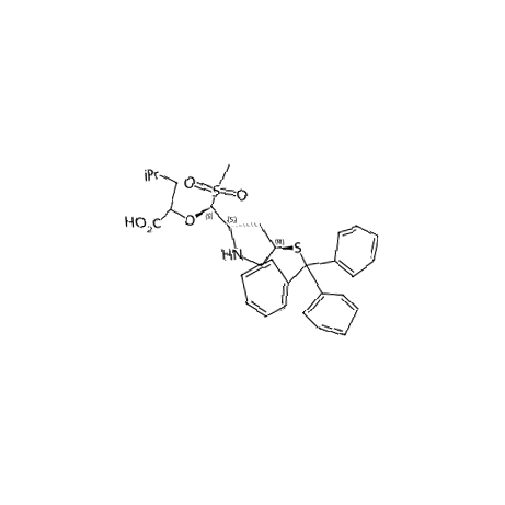 CC(C)CC(O[C@H]([C@@H]1C[C@@H](SC(c2ccccc2)(c2ccccc2)c2ccccc2)CN1)S(C)(=O)=O)C(=O)O